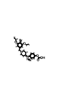 CCOc1cc(CN2CCC(n3nnc4cc(OC(=O)O)ccc43)CC2)cc(OCC)c1Br